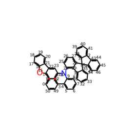 c1ccc(-c2ccccc2N(c2ccc3oc4ccccc4c3c2)c2cccc3c2-c2ccccc2C32c3ccccc3-c3ccccc32)cc1